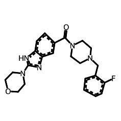 O=C(c1ccc2[nH]c(N3CCOCC3)nc2c1)N1CCN(Cc2ccccc2F)CC1